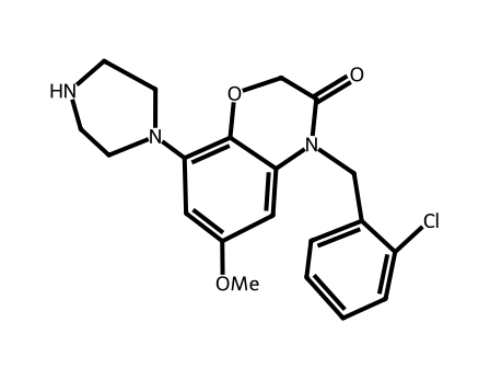 COc1cc(N2CCNCC2)c2c(c1)N(Cc1ccccc1Cl)C(=O)CO2